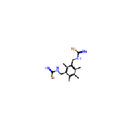 Cc1c(C)c(CNC(=N)S)c(C)c(CNC(=N)S)c1C